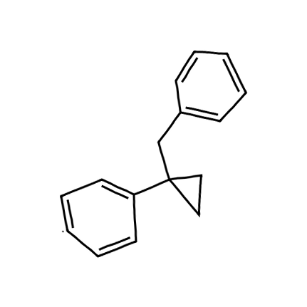 [c]1ccc(C2(Cc3ccccc3)CC2)cc1